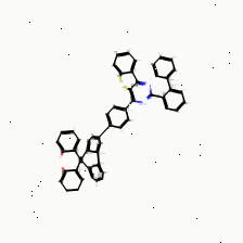 C1=C2Oc3ccccc3C3(C2=CCC1)c1ccccc1-c1cc(-c2ccc(-c4nc(-c5ccccc5-c5ccccc5)nc5c4sc4ccccc45)cc2)ccc13